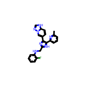 Cc1cccc(-c2[nH]c(CNc3ccccc3F)nc2C2=CN3N=CNC3C=C2)n1